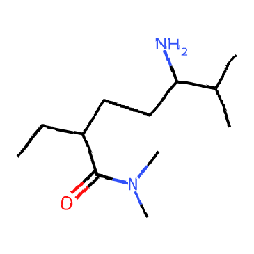 CCC(CCC(N)C(C)C)C(=O)N(C)C